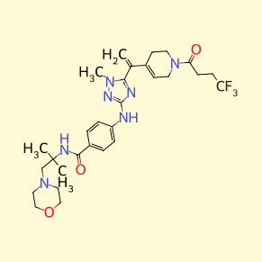 C=C(C1=CCN(C(=O)CCC(F)(F)F)CC1)c1nc(Nc2ccc(C(=O)NC(C)(C)CN3CCOCC3)cc2)nn1C